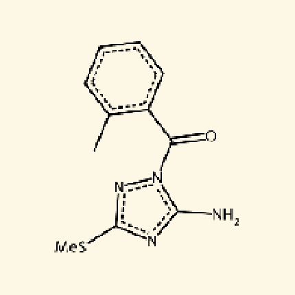 CSc1nc(N)n(C(=O)c2ccccc2C)n1